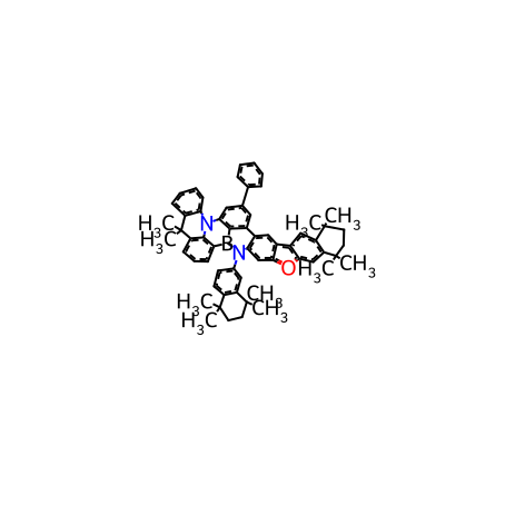 CC1(C)CCC(C)(C)c2cc(N3B4c5cccc6c5N(c5ccccc5C6(C)C)c5cc(-c6ccccc6)cc(c54)-c4cc5c(cc43)oc3cc4c(cc35)C(C)(C)CCC4(C)C)ccc21